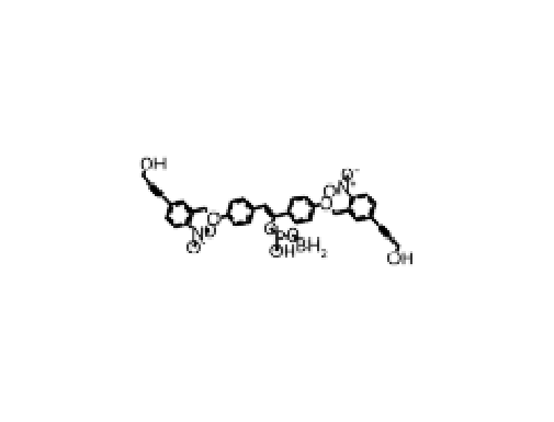 BOP(O)OC(=Cc1ccc(OCc2cc(C#CCO)ccc2[N+](=O)[O-])cc1)c1ccc(OCc2cc(C#CCO)ccc2[N+](=O)[O-])cc1